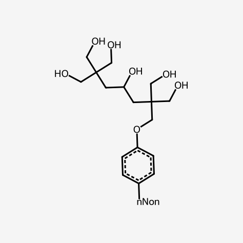 CCCCCCCCCc1ccc(OCC(CO)(CO)CC(O)CC(CO)(CO)CO)cc1